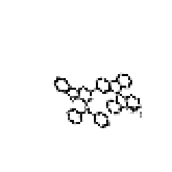 Cc1ccccc1C1(c2ccccc2)c2ccccc2-c2ccc(-c3cc(N(c4ccccc4)c4ccccc4)c4sc5ccccc5c4c3)cc21